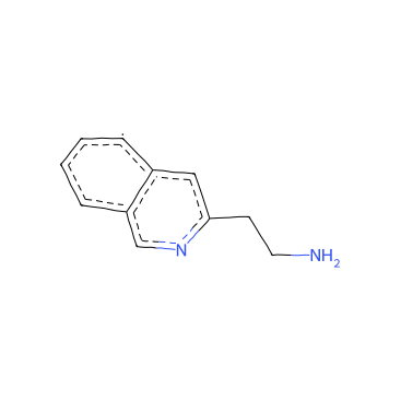 NCCc1cc2[c]cccc2cn1